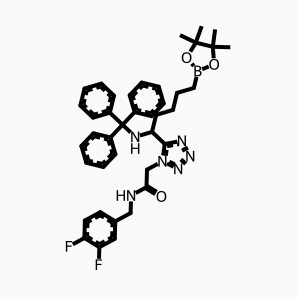 CC1(C)OB(CCCCC(NC(c2ccccc2)(c2ccccc2)c2ccccc2)c2nnnn2CC(=O)NCc2ccc(F)c(F)c2)OC1(C)C